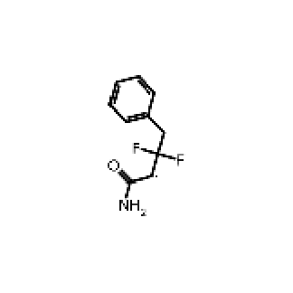 NC(=O)[CH]C(F)(F)Cc1ccccc1